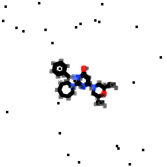 C[C@@H]1CN(c2cc(=O)[nH]c(N3CCCCC[C@@H]3Cc3ccccc3)n2)C[C@@H](C)O1